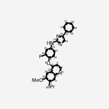 CCCc1cc2nccc(Oc3ccc(Nc4nc(-c5ccccc5)cs4)cc3F)c2cc1OC